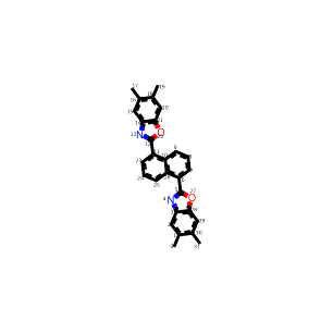 Cc1cc2nc(-c3cccc4c(-c5nc6cc(C)c(C)cc6o5)cccc34)oc2cc1C